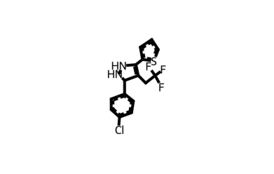 FC(F)(F)CC1=C(c2cccs2)NNC1c1ccc(Cl)cc1